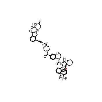 O=C1CC[C@H](N2Cc3c(C#C[C@H]4CC45CCN(C(=O)c4ccc6c(c4)OCCN6C(=O)[C@@H]4NC6(CCCCC6)[C@@]6(CNc7cc(C(F)(F)F)ncc76)[C@H]4c4cccc(Cl)c4F)CC5)cccc3C2=O)C(=O)N1